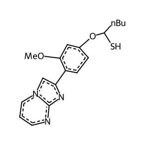 CCCCC(S)Oc1ccc(-c2cn3cccnc3n2)c(OC)c1